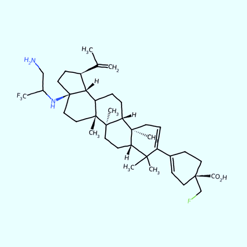 C=C(C)[C@@H]1CC[C@@]2(NC(CN)C(F)(F)F)CC[C@]3(C)C(CC[C@@H]4[C@@]5(C)CC=C(C6=CC[C@](CF)(C(=O)O)CC6)C(C)(C)[C@@H]5CC[C@]43C)[C@@H]12